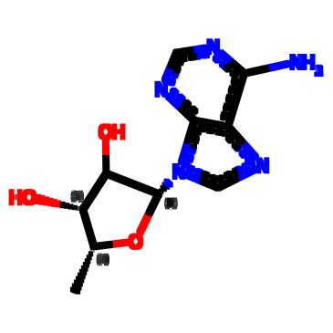 C[C@H]1O[C@@H](n2cnc3c(N)ncnc32)C(O)[C@H]1O